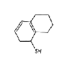 SC1CC=CC2=C1CCCC2